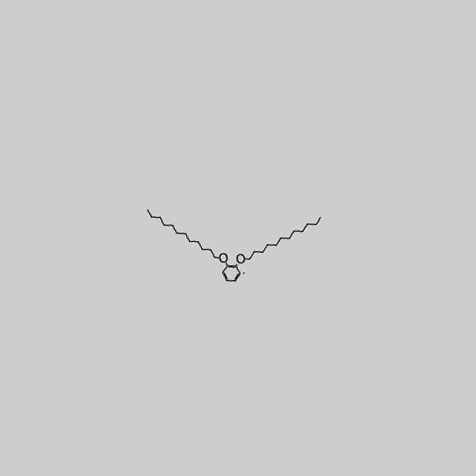 CCCCCCCCCCCCOc1[c]cccc1OCCCCCCCCCCCC